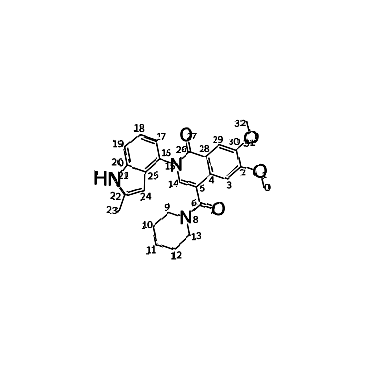 COc1cc2c(C(=O)N3CCCCC3)cn(-c3cccc4[nH]c(C)cc34)c(=O)c2cc1OC